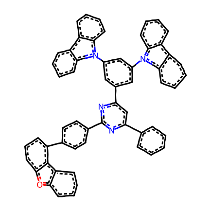 c1ccc(-c2cc(-c3cc(-n4c5ccccc5c5ccccc54)cc(-n4c5ccccc5c5ccccc54)c3)nc(-c3ccc(-c4cccc5oc6ccccc6c45)cc3)n2)cc1